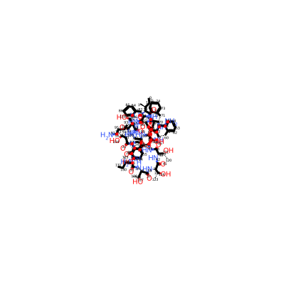 CC[C@H](C)[C@H](N)C(=O)N1CCC[C@H]1C(=O)N[C@H](C(=O)N[C@H](C(=O)N1CCC[C@H]1C(=O)N[C@H](C(=O)N[C@H](C(=O)N[C@H](C(=O)N[C@H](C(=O)N[C@@H](Cc1ccc(O)cc1)C(=O)N[C@@H](Cc1ccccc1)C(=O)N[C@@H](Cc1ccccc1)C(=O)N[C@@H](Cc1ccccc1)C(=O)N[C@@H](CCCCN)C(=O)N[C@@H](CCCCN)C(=O)N[C@@H](CCCCN)C(=O)O)[C@@H](C)O)[C@@H](C)O)[C@@H](C)O)[C@@H](C)CC)[C@@H](C)O)[C@@H](C)O